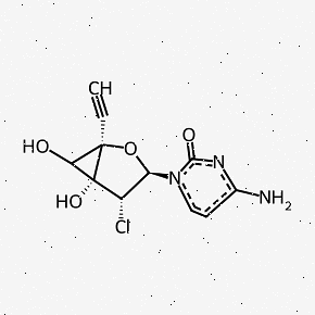 C#C[C@]12O[C@@H](n3ccc(N)nc3=O)[C@H](Cl)[C@@]1(O)C2O